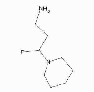 NCCC(F)N1CCCCC1